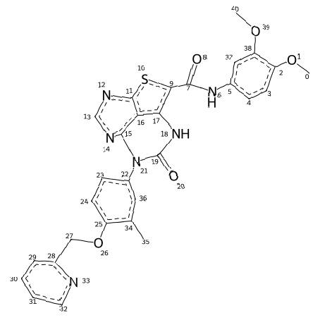 COc1ccc(NC(=O)c2sc3ncnc4c3c2NC(=O)N4c2ccc(OCc3ccccn3)c(C)c2)cc1OC